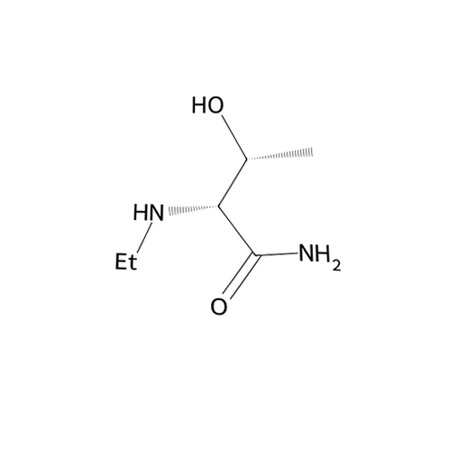 CCN[C@@H](C(N)=O)[C@@H](C)O